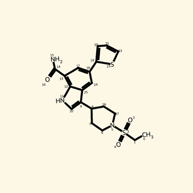 CCS(=O)(=O)N1CCC(c2c[nH]c3c(C(N)=O)cc(-c4cccs4)cc23)CC1